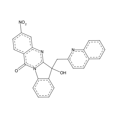 O=c1c2ccc([N+](=O)[O-])cc2nc2n1-c1ccccc1C2(O)Cc1ccc2ccccc2n1